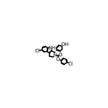 O=C(Oc1ccc(Cl)cc1)N1CCc2c([nH]c3ccc(Cl)cc23)[C@@H]1C1=CCC(O)C=C1